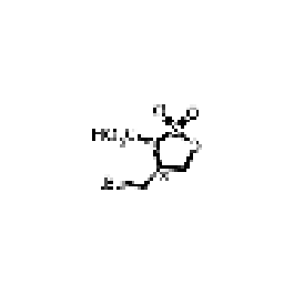 CC(C)(C)C[C@@H]1COS(=O)(=O)N1C(=O)O